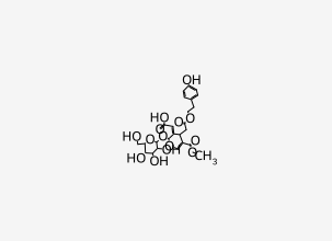 COC(=O)C1=COC(OC2OC(CO)C(O)C(O)C2O)/C(=C\C(=O)O)C1CC(=O)OCCc1ccc(O)cc1